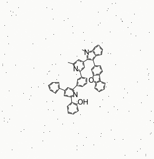 Cc1cc(-c2c(-c3ccc4c(c3)oc3ccccc34)c3ccccc3n2C)cc(-c2cccc(-c3cc(-c4ccccc4)cc(-c4ccccc4O)n3)c2)n1